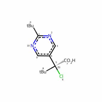 CC(C)(C)c1ncc([C@](Cl)(C(=O)O)C(C)(C)C)cn1